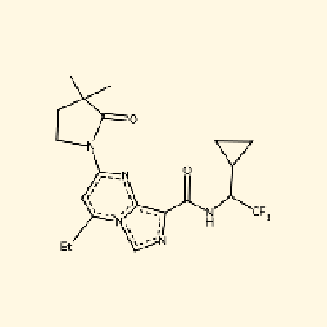 CCc1cc(N2CCC(C)(C)C2=O)nc2c(C(=O)NC(C3CC3)C(F)(F)F)ncn12